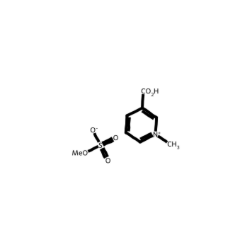 COS(=O)(=O)[O-].C[n+]1cccc(C(=O)O)c1